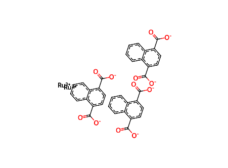 O=C([O-])c1ccc(C(=O)[O-])c2ccccc12.O=C([O-])c1ccc(C(=O)[O-])c2ccccc12.O=C([O-])c1ccc(C(=O)[O-])c2ccccc12.[Ru+3].[Ru+3]